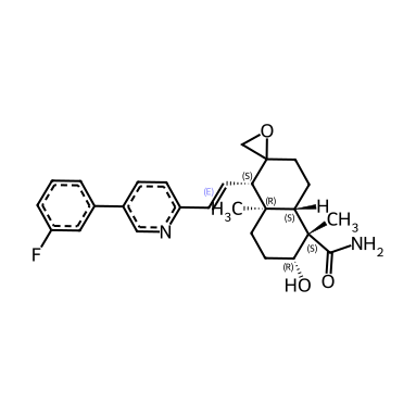 C[C@@]12CC[C@@H](O)[C@@](C)(C(N)=O)[C@H]1CCC1(CO1)[C@H]2/C=C/c1ccc(-c2cccc(F)c2)cn1